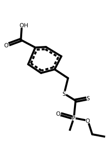 CCOP(C)(=O)C(=S)SCc1ccc(C(=O)O)cc1